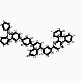 c1ccc(-n2c3ccccc3c3cc(-c4ccc(-c5ccc(-c6cccc(-c7cnc8c9ccccc9c9ccccc9c8n7)c6)c6ccccc56)cc4)ccc32)cc1